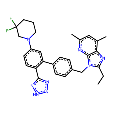 CCc1nc2c(C)cc(C)nc2n1Cc1ccc(-c2cc(N3CCCC(F)(F)C3)ccc2-c2nn[nH]n2)cc1